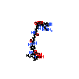 C[C@@H](NC(=O)c1ccc(NNC(=O)CCCCC(=O)NCCCC[C@H](NC(=O)[C@H](CC2CNC=N2)NCCN)C(=O)O)cc1)C(=O)N1CCC[C@H]1B(O)O